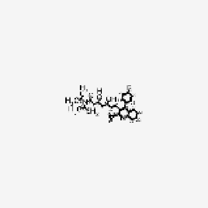 CC(C)N(C(=O)C[C@H](O)C[C@H](O)/C=C/c1c(C2CC2)nc2ccccc2c1-c1ccc(F)cc1)C(C)C